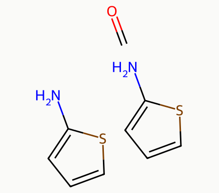 C=O.Nc1cccs1.Nc1cccs1